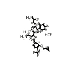 C[C@H](N)c1oc(-c2ccc(OC(F)F)c(OCC3CC3)c2)nc1C(=O)NC(C(=O)NCC(N)=O)c1ccc(F)cc1F.Cl